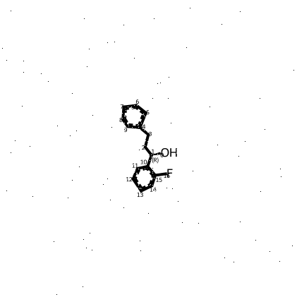 O[C@H](CCc1ccccc1)c1ccccc1F